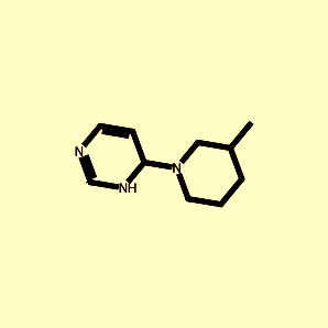 CC1CCCN(C2C=CN=[C]N2)C1